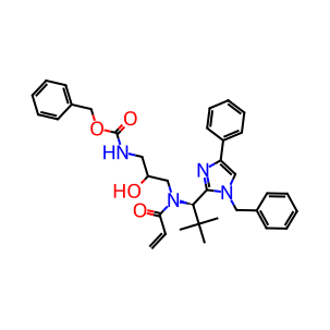 C=CC(=O)N(CC(O)CNC(=O)OCc1ccccc1)[C@@H](c1nc(-c2ccccc2)cn1Cc1ccccc1)C(C)(C)C